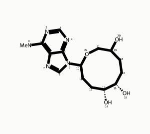 CNc1ncnc2c1ncn2C1CC[C@@H](O)[C@@H](O)CCC(O)CO1